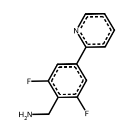 NCc1c(F)cc(-c2ccccn2)cc1F